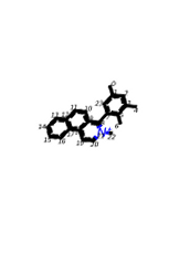 Cc1cc(C)c(C)c(-c2c3ccc4ccccc4c3cc[n+]2C)c1